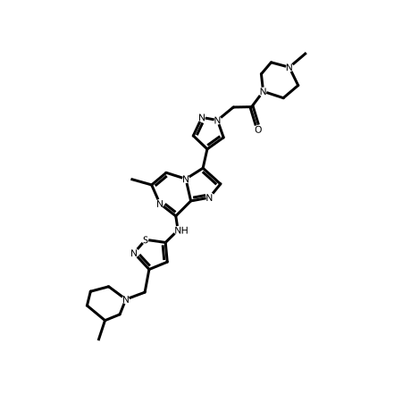 Cc1cn2c(-c3cnn(CC(=O)N4CCN(C)CC4)c3)cnc2c(Nc2cc(CN3CCCC(C)C3)ns2)n1